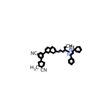 C=C/C(=C\C=C\C1=CC=C2C=CC(c3cc(C#N)cc(C4=CC(C)C(C#N)C=C4)c3)=CC2C1)c1nc(-c2ccccc2)cc(C2(CC)C=CC=CC2)n1